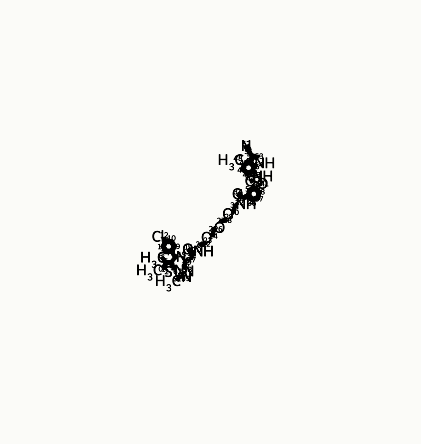 Cc1sc2c(c1C)C(c1ccc(Cl)cc1)=N[C@@H](CC(=O)NCCOCCOCCOCCNC(=O)c1cccc(S(=O)(=O)Nc3ccc(C)c4c(C#N)c[nH]c34)c1)c1nnc(C)n1-2